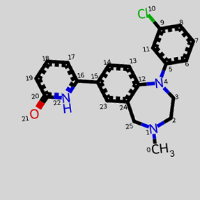 CN1CCN(c2cccc(Cl)c2)c2ccc(-c3cccc(=O)[nH]3)cc2C1